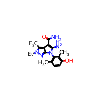 CCn1nc2c(c(C(N)=O)c(N)n2-c2c(C)ccc(O)c2C)c1C(F)(F)F